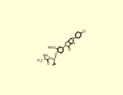 COc1cc(N2Cc3cn(-c4ccc(Cl)cc4)nc3C2=O)ccc1OC[C@H](OC(=O)[C@H](C)N)C1CC1